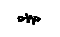 CN1CCC(C(=O)c2cccc(NC(=O)c3cccnc3)c2)CC1